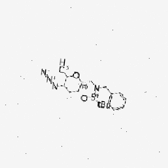 CC1O[C@H](CN(Cc2ccccc2)[S@@+]([O-])C(C)(C)C)CCC1N=[N+]=[N-]